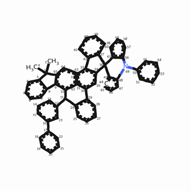 CC1(C)c2ccccc2-c2c(C(c3cccc(-c4ccccc4)c3)c3ccccc3-c3ccc4c(c3)C3(c5ccccc5-4)c4ccccc4N(c4ccccc4)c4ccccc43)cccc21